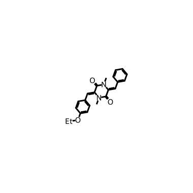 CCOc1ccc(/C=c2/c(=O)n(C)/c(=C\c3ccccc3)c(=O)n2C)cc1